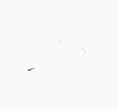 COC(=O)[C@H]1C[C@H]2COC(=O)N[C@@]2(c2cc(F)ccc2F)CO1